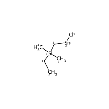 CC[Si](C)(C)[CH2][Sn][Cl]